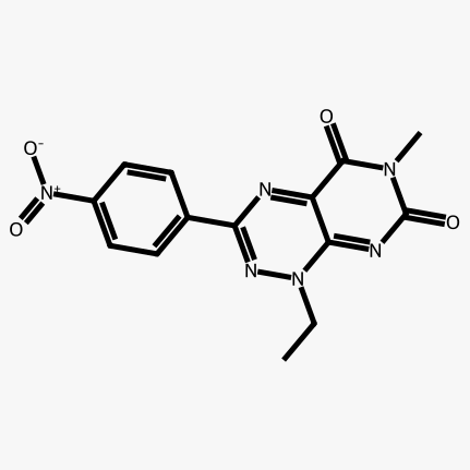 CCn1nc(-c2ccc([N+](=O)[O-])cc2)nc2c(=O)n(C)c(=O)nc1-2